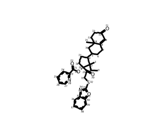 CCC1(C)C(C2CCC3=CC(=O)CCC3(C)C2)CC[C@]1(OC(=O)c1ccccn1)C(=O)CSc1nc2ccccc2o1